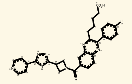 O=C(O)CCCCc1nc2cc(C(=O)N3CC(c4nc(-c5ccncc5)no4)C3)ccc2nc1-c1ccc(Cl)cc1